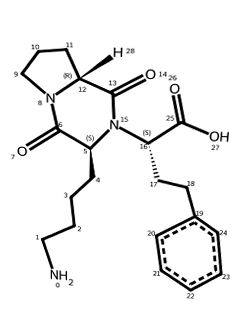 NCCCC[C@H]1C(=O)N2CCC[C@@H]2C(=O)N1[C@@H](CCc1ccccc1)C(=O)O